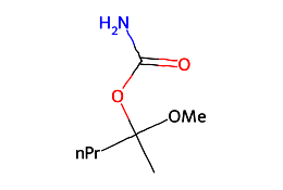 CCCC(C)(OC)OC(N)=O